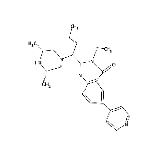 CCCC(c1nc2ccc(-c3ccncc3)cc2c(=O)n1CC)N1C[C@@H](C)N[C@@H](C)C1